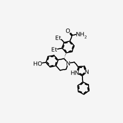 CCc1c(C(N)=O)ccc([C@H]2c3ccc(O)cc3CCN2Cc2cnc(-c3ccccc3)[nH]2)c1CC